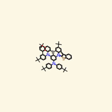 CC(C)(C)c1ccc(N(c2ccc(C(C)(C)C)cc2)c2cc3c4c(c2)-n2c5sc6ccccc6c5c5cc(C(C)(C)C)cc(c52)B4c2ccc(C(C)(C)C)cc2N3c2ccc(C(C)(C)C)cc2-c2ccccc2)cc1